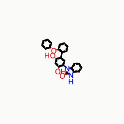 O=c1[nH]c2ccccc2n1-c1cc(-c2ccccc2Oc2ccccc2)c(O)cc1O